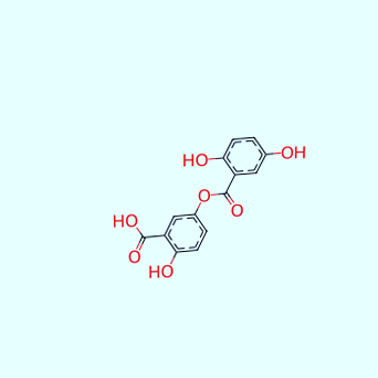 O=C(O)c1cc(OC(=O)c2cc(O)ccc2O)ccc1O